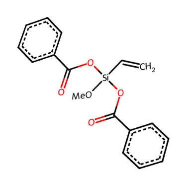 C=C[Si](OC)(OC(=O)c1ccccc1)OC(=O)c1ccccc1